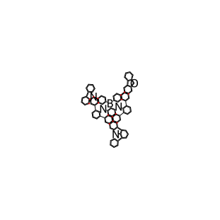 c1ccc(-c2cccc(-c3ccccc3)c2N2c3cc(-c4ccc5oc6ccccc6c5c4)ccc3B3c4ccc(-n5c6ccccc6c6ccccc65)cc4N(c4c(-c5ccccc5)cccc4-c4ccccc4)c4cc(-c5ccc6c(c5)c5cccc7c8ccccc8n6c75)cc2c43)cc1